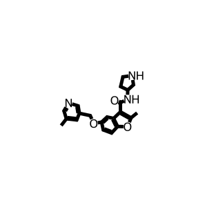 Cc1cncc(COc2ccc3oc(C)c(C(=O)NC4CCNC4)c3c2)c1